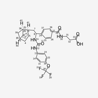 CC1(C)[C@@H]2CC[C@H](CC(NC(=O)Nc3ccc(OC(F)(F)F)cc3)c3ccc(C(=O)NCCC(=O)O)cc3)[C@@H]1C2